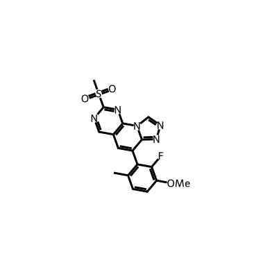 COc1ccc(C)c(-c2cc3cnc(S(C)(=O)=O)nc3n3cnnc23)c1F